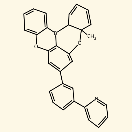 CC12C=CC=CC1B1c3ccccc3Oc3cc(-c4cccc(-c5ccccn5)c4)cc(c31)O2